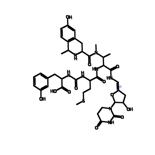 CSCCC(NC(=O)NC(Cc1cccc(O)c1)C(=O)O)C(=O)NC(C(=O)N/C=C1/CC(O)C(N2CCC(=O)NC2=O)O1)C(C)N(C)C(=O)C1Cc2cc(O)ccc2C(C)N1